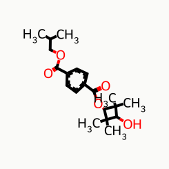 CC(C)COC(=O)c1ccc(C(=O)OC2C(C)(C)C(O)C2(C)C)cc1